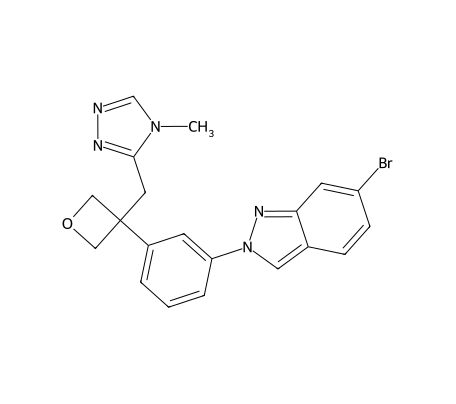 Cn1cnnc1CC1(c2cccc(-n3cc4ccc(Br)cc4n3)c2)COC1